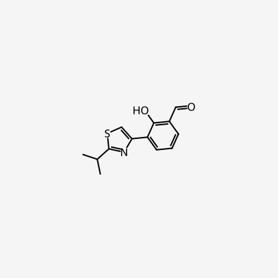 CC(C)c1nc(-c2cccc(C=O)c2O)cs1